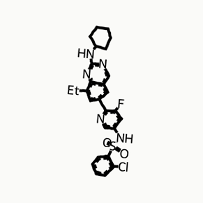 CCc1cc(-c2ncc(NS(=O)(=O)c3ccccc3Cl)cc2F)cc2cnc(NC3CCCCC3)nc12